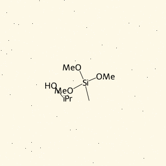 CC(C)O.CO[Si](C)(OC)OC